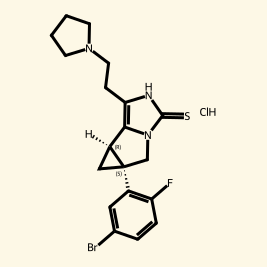 Cl.Fc1ccc(Br)cc1[C@]12C[C@H]1c1c(CCN3CCCC3)[nH]c(=S)n1C2